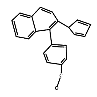 [O]Cc1ccc(-c2c(C3C=CC=C3)ccc3ccccc23)cc1